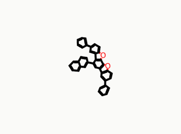 c1ccc(-c2ccc3oc4c(cc(-c5ccc6ccccc6c5)c5c6cc(-c7ccccc7)ccc6oc45)c3c2)cc1